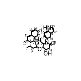 CC[C@H](C)C(=O)O[C@H]1C[C@@H](C)C=C2C=C[C@H](C)[C@H](CCC3C[C@@H](O)CC(=O)N3c3ccc4[nH]ccc4c3)[C@H]21